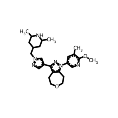 COc1ncc(-n2nc(-c3cnn(CC4CC(C)NC(C)C4)c3)c3c2CCOCC3)cc1C